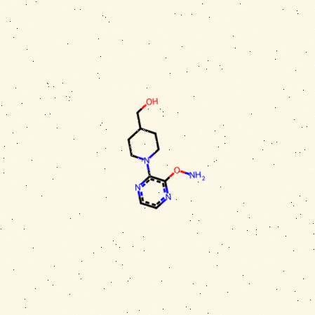 NOc1nccnc1N1CCC(CO)CC1